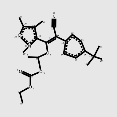 CCOC(=O)OC(C)O/C(=C(/C#N)c1ccc(C(C)(C)C)cc1)c1c(C)c(C)nn1C